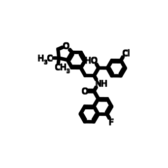 CC1(C)COc2ccc(CC(NC(=O)c3ccc(F)c4ccccc34)C(O)c3cccc(Cl)c3)cc21